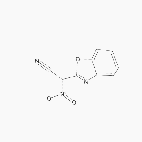 N#CC(c1nc2ccccc2o1)[N+](=O)[O-]